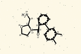 Cc1ccc(-c2ccccc2C(=O)N2CCOC2CN)cc1C